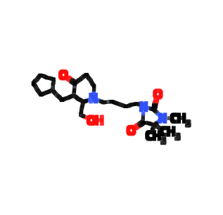 CN1C(=O)N(CCCCN2CCC(=O)C(CC3CCCC3)C2CO)C(=O)C1(C)C